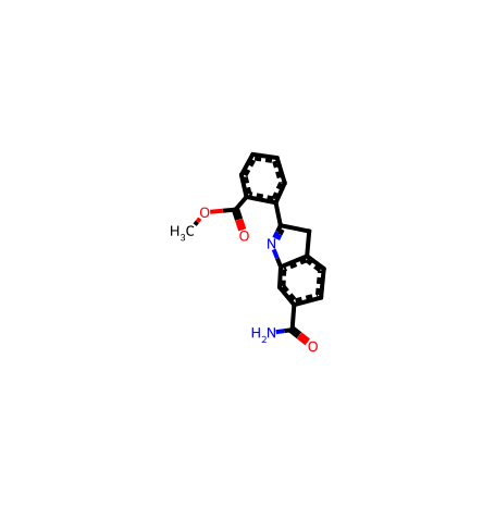 COC(=O)c1ccccc1C1=Nc2cc(C(N)=O)ccc2C1